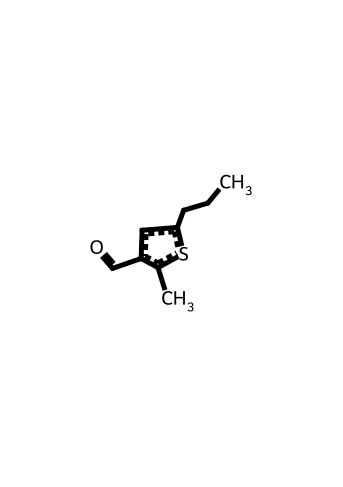 CCCc1cc(C=O)c(C)s1